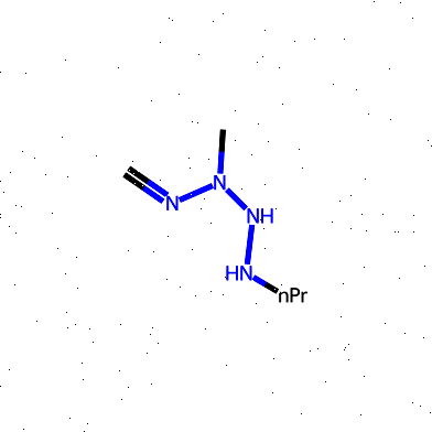 C=NN(C)NNCCC